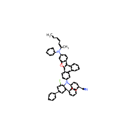 C=C/C=C\C=C(/C)N(c1ccccc1)c1ccc2c(c1)oc1c3ccc(N(c4ccc(C#N)cc4)c4c(F)cc(-c5ccccc5)cc4-c4ccccc4)cc3c3ccccc3c21